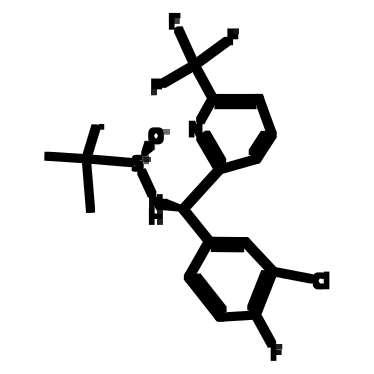 [CH2]C(C)(C)[S@@+]([O-])N[C@H](c1ccc(F)c(Cl)c1)c1cccc(C(F)(F)F)n1